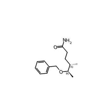 C[C@@H](CCC(N)=O)[C@@H](C)OCc1ccccc1